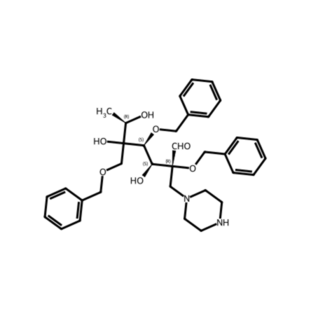 C[C@@H](O)C(O)(COCc1ccccc1)[C@@H](OCc1ccccc1)[C@H](O)[C@@](C=O)(CN1CCNCC1)OCc1ccccc1